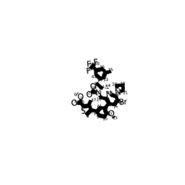 COC(=O)c1scc(-c2ccc(OC)c(-c3cc(Br)c(N4CCC4)nc3CN3C(=O)O[C@H](c4cc(C)cc(C(F)(F)F)c4)[C@@H]3C)c2)c1C